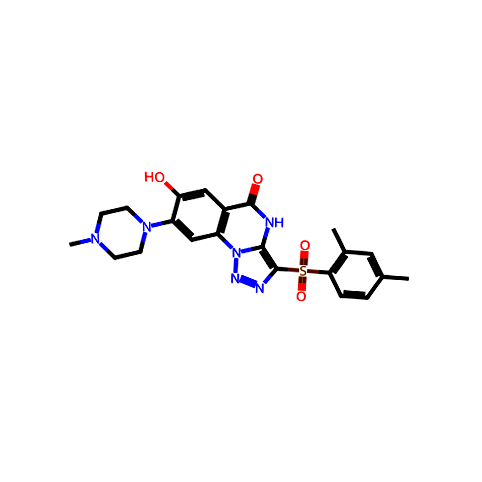 Cc1ccc(S(=O)(=O)c2nnn3c2[nH]c(=O)c2cc(O)c(N4CCN(C)CC4)cc23)c(C)c1